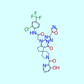 O=C(Cn1c2c(c(=O)n3nc(-c4cnco4)nc13)C1(CC2)CCN(C(=O)c2ncccc2O)CC1)Nc1ccc(C(F)(F)F)cc1Cl